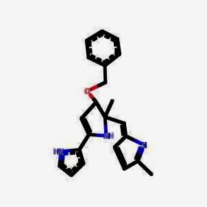 CC1=NC(=CC2(C)NC(c3ccc[nH]3)=CC2OCc2ccccc2)C=C1